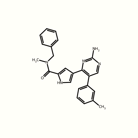 Cc1cccc(-c2cnc(N)nc2-c2c[nH]c(C(=O)N(C)Cc3ccccc3)c2)c1